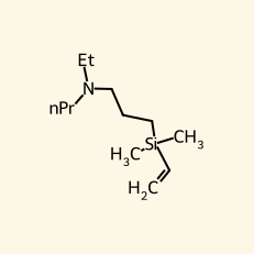 C=C[Si](C)(C)CCCN(CC)CCC